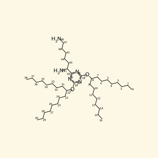 CCCCCCCCC(CCCCCCCC)Oc1nc(OC(CCCCCCCC)CCCCCCCC)nc(C(N)CCCCCN)n1